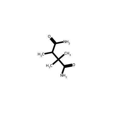 CC(C(N)=O)C(C)(C)C(N)=O